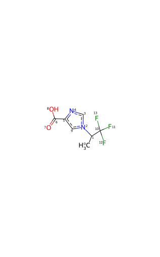 CC(n1cnc(C(=O)O)c1)C(F)(F)F